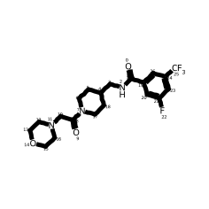 O=C(NCC1CCN(C(=O)CN2CCOCC2)CC1)c1cc(F)cc(C(F)(F)F)c1